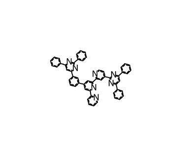 c1ccc(-c2cc(-c3cccc(-c4cc(-c5ccccn5)nc(-c5cc(-c6nc(-c7ccccc7)cc(-c7ccccc7)n6)ccn5)c4)c3)nc(-c3ccccc3)n2)cc1